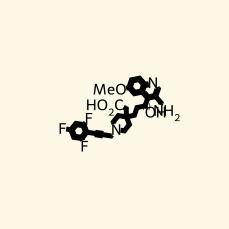 COc1ccc2ncc(CN)c([C@@H](O)CCC3(CC(=O)O)CCN(CC#Cc4c(F)cc(F)cc4F)CC3)c2c1